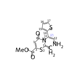 C=C1SC(C(=O)OC)=CC(=O)N1/C(=C\N)c1cccs1